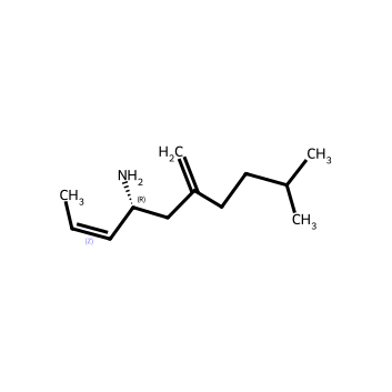 C=C(CCC(C)C)C[C@@H](N)/C=C\C